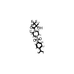 CC(C)c1ccc(S(=O)(=O)N2CCN(C(=O)C(C)(O)C(F)(F)F)[C@H](C)C2)cc1